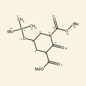 COC(=O)C1CC(O[Si](C)(C)C(C)(C)C)CN(C(=O)OC(C)(C)C)C1=O